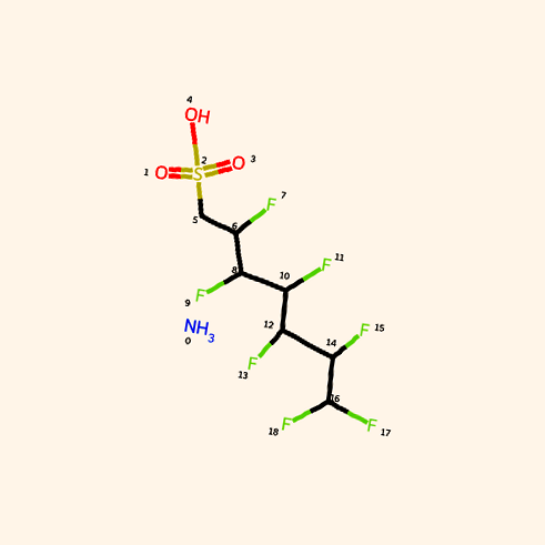 N.O=S(=O)(O)CC(F)C(F)C(F)C(F)C(F)C(F)F